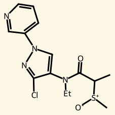 CCN(C(=O)C(C)[S+](C)[O-])c1cn(-c2cccnc2)nc1Cl